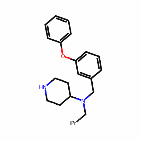 CC(C)CN(Cc1cccc(Oc2ccccc2)c1)C1CCNCC1